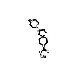 CC(C)(C)OC(=O)N1CCC2(CC1)C[C@H](N1CCNCC1)CO2